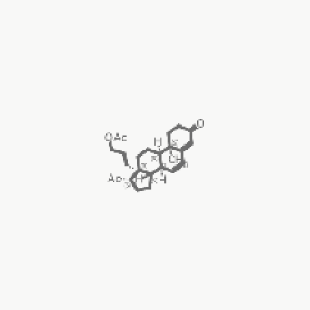 CC(=O)OCCC[C@]12CC[C@@H]3[C@@H](C=CC4=CC(=O)CC[C@]43C)[C@@H]1CC[C@@H]2C(C)=O